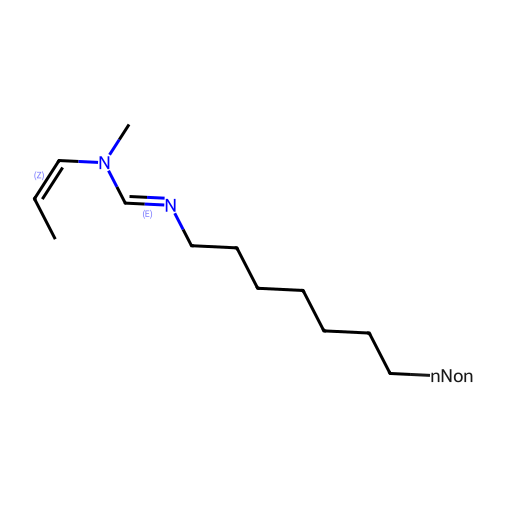 C/C=C\N(C)/C=N/CCCCCCCCCCCCCCCC